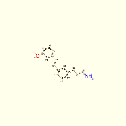 COc1cccc(/C=C/c2cccc(CCCN)c2)c1